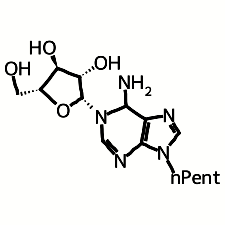 CCCCCn1cnc2c1N=CN([C@@H]1O[C@H](CO)[C@@H](O)[C@@H]1O)C2N